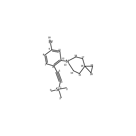 C[Si](C)(C)C#Cc1ccc(Br)cc1N1CCC2(CC1)CC2